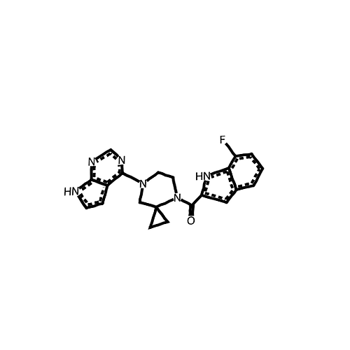 O=C(c1cc2cccc(F)c2[nH]1)N1CCN(c2ncnc3[nH]ccc23)CC12CC2